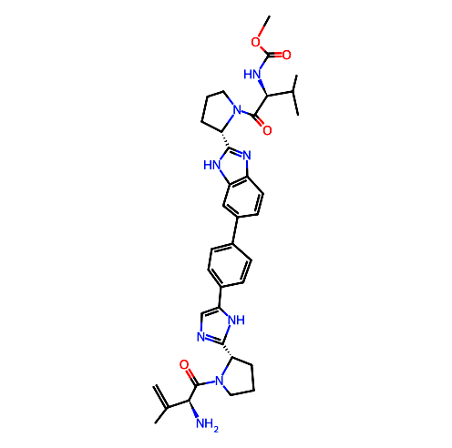 C=C(C)[C@H](N)C(=O)N1CCC[C@H]1c1ncc(-c2ccc(-c3ccc4nc([C@@H]5CCCN5C(=O)[C@@H](NC(=O)OC)C(C)C)[nH]c4c3)cc2)[nH]1